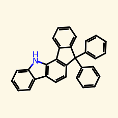 c1ccc(C2(c3ccccc3)c3ccccc3-c3c2ccc2c3[nH]c3ccccc32)cc1